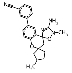 CC1CCC2(C1)CC1(N=C(N)N(C)O1)c1cc(-c3cccc(C#N)c3)ccc1O2